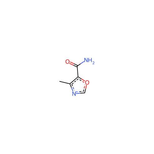 Cc1ncoc1C(N)=O